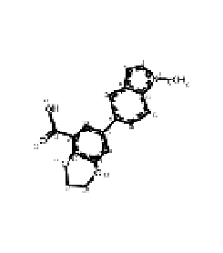 Cn1ccc2cc(-c3cc4c(c(C(=O)O)c3)OCCO4)ccc21